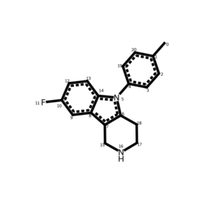 Cc1ccc(-n2c3c(c4cc(F)ccc42)CNCC3)cc1